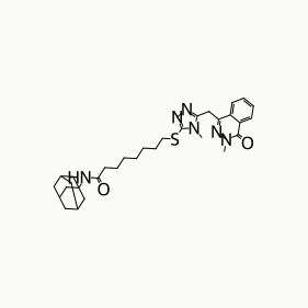 Cn1c(Cc2nn(C)c(=O)c3ccccc23)nnc1SCCCCCCCC(=O)NC12CC3CC(CC(C3)C1)C2